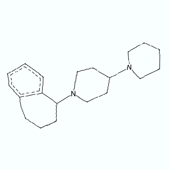 c1ccc2c(c1)CCCC2N1CCC(N2CCCCC2)CC1